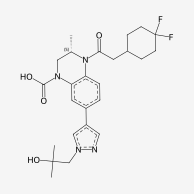 C[C@H]1CN(C(=O)O)c2cc(-c3cnn(CC(C)(C)O)c3)ccc2N1C(=O)CC1CCC(F)(F)CC1